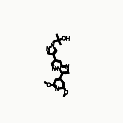 COc1cc(-c2cnc3cc(-c4cnn(CC(C)(C)O)c4)cnn23)cc(OC)n1